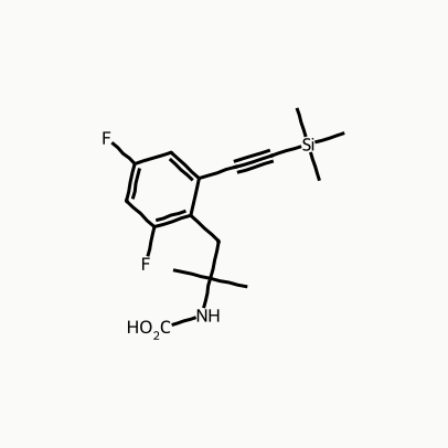 CC(C)(Cc1c(F)cc(F)cc1C#C[Si](C)(C)C)NC(=O)O